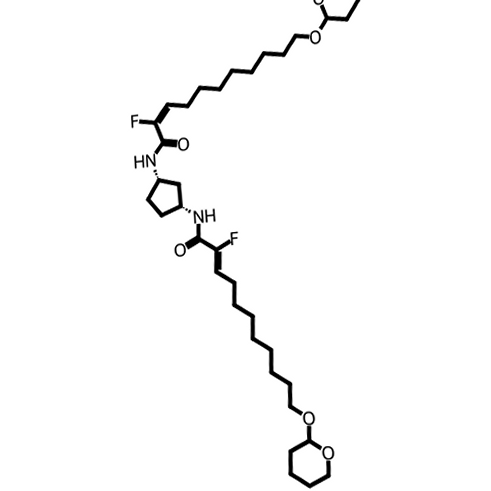 O=C(N[C@@H]1CC[C@H](NC(=O)/C(F)=C\CCCCCCCCOC2CCCCO2)C1)/C(F)=C/CCCCCCCCOC1CCCCO1